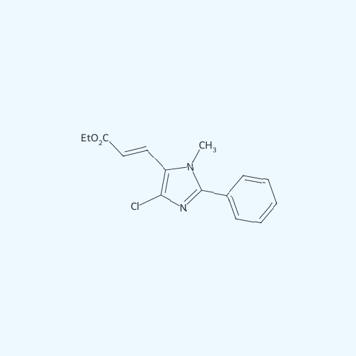 CCOC(=O)/C=C/c1c(Cl)nc(-c2ccccc2)n1C